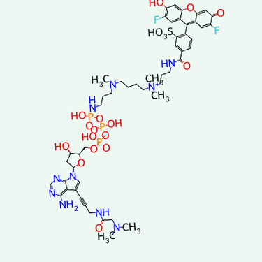 CN(C)CC(=O)NCC#Cc1cn([C@H]2C[C@@H](O)[C@@H](COP(=O)(O)OP(=O)(O)OP(=O)(O)NCCCN(C)CCCC[N+](C)(C)CCCNC(=O)c3ccc(-c4c5cc(F)c(=O)cc-5oc5cc(O)c(F)cc45)c(S(=O)(=O)O)c3)O2)c2ncnc(N)c12